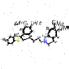 COc1ccc(C(C#N)(CCCCCN2CCc3cc(OC)c(OC)cc3C2)Sc2ccc(C)cc2)cc1OC